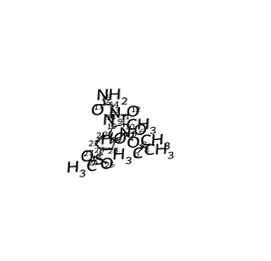 CC(C)(C)OC(=O)N(O)C1(C)C(=O)N(CC(N)=O)N=C1c1ccc(S(C)(=O)=O)cc1